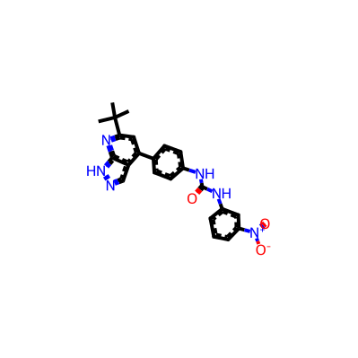 CC(C)(C)c1cc(-c2ccc(NC(=O)Nc3cccc([N+](=O)[O-])c3)cc2)c2cn[nH]c2n1